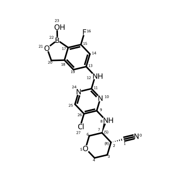 N#C[C@@H]1CCOC[C@H]1Nc1nc(Nc2cc(F)c3c(c2)COB3O)ncc1Cl